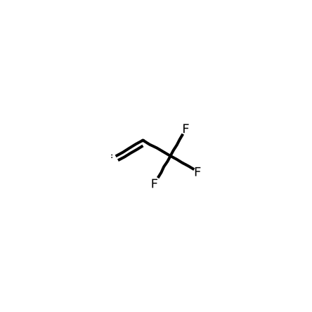 [C]=CC(F)(F)F